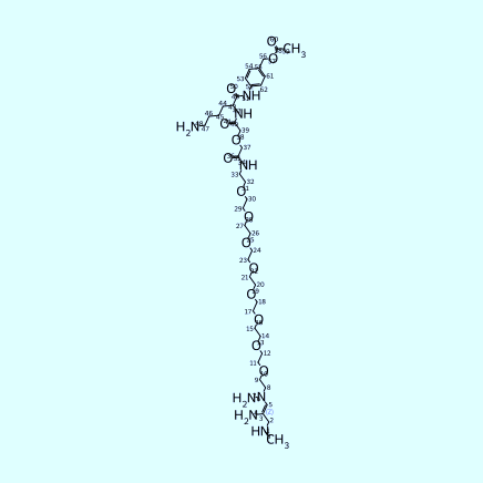 CNC/C(N)=C/N(N)CCOCCOCCOCCOCCOCCOCCOCCOCCNC(=O)COCC(=O)NC(CCCCN)C(=O)Nc1ccc(COC(C)=O)cc1